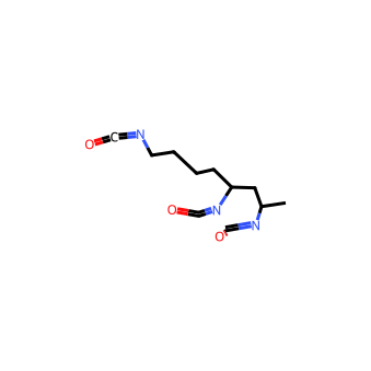 CC(CC(CCCCN=C=O)N=C=O)N=C=O